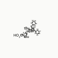 CC(C)(C)[C@@H](NC[C@H](F)CN(C(=O)O)C(C)(C)C)c1nc(-c2ccccc2)cn1Cc1ccccc1